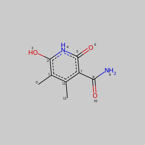 Cc1c(O)[nH]c(=O)c(C(N)=O)c1C